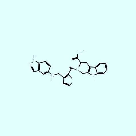 CNC(=O)C1Cc2c([nH]c3ccccc23)CN1C(=O)c1occc1CNc1ccc2[nH]ncc2c1